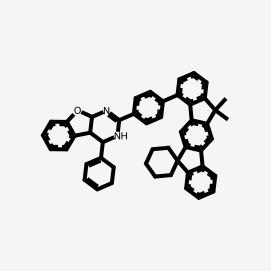 CC1(C)c2cc3c(cc2-c2c(-c4ccc(C5=NC6Oc7ccccc7C6C(C6=CC=CCC6)N5)cc4)cccc21)C1(CCCCC1)c1ccccc1-3